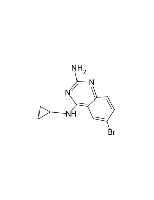 Nc1nc(NC2CC2)c2cc(Br)ccc2n1